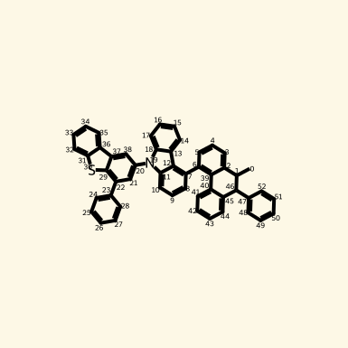 CC1c2cccc(-c3cccc4c3c3ccccc3n4-c3cc(-c4ccccc4)c4sc5ccccc5c4c3)c2-c2ccccc2C1c1ccccc1